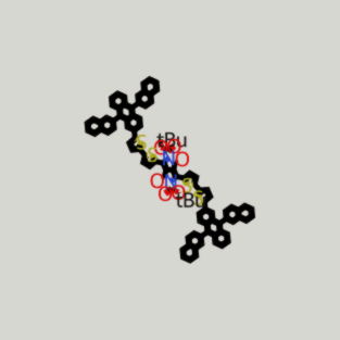 CC(C)(C)OC(=O)N1C(=O)C2=C(c3ccc(-c4ccc(-c5ccc6c(-c7ccc8ccccc8c7)c7ccccc7c(-c7ccc8ccccc8c7)c6c5)s4)s3)N(C(=O)OC(C)(C)C)C(=O)C2=C1c1ccc(-c2ccc(-c3ccc4c(-c5ccc6ccccc6c5)c5ccccc5c(-c5ccc6ccccc6c5)c4c3)s2)s1